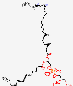 CCCCC/C=C\C/C=C\CCCCCCCCCCCC(=O)OC[C@H](COP(=O)(O)OC[C@@H](O)CO)OC(=O)CCCCCCC/C=C\CCCCCCCC